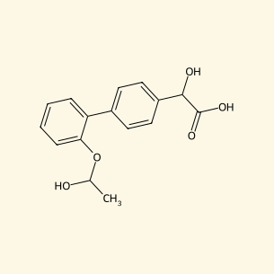 CC(O)Oc1ccccc1-c1ccc(C(O)C(=O)O)cc1